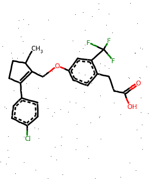 CC1CCC(c2ccc(Cl)cc2)=C1COc1ccc(CCC(=O)O)c(C(F)(F)F)c1